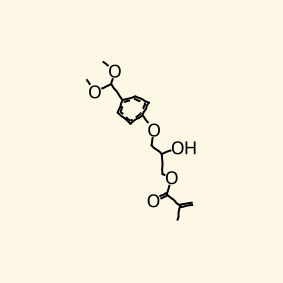 C=C(C)C(=O)OCC(O)COc1ccc(C(OC)OC)cc1